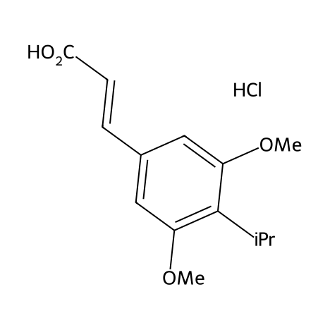 COc1cc(C=CC(=O)O)cc(OC)c1C(C)C.Cl